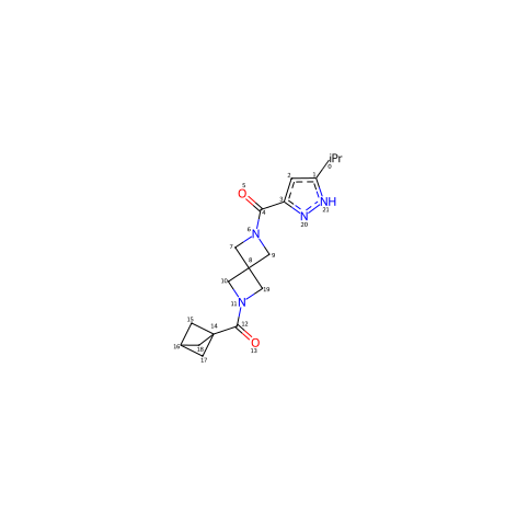 CC(C)c1cc(C(=O)N2CC3(C2)CN(C(=O)C24CC(C2)C4)C3)n[nH]1